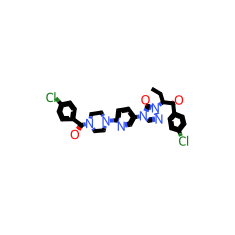 CCC(C(=O)c1ccc(Cl)cc1)n1ncn(-c2ccc(N3CCN(C(=O)c4ccc(Cl)cc4)CC3)nc2)c1=O